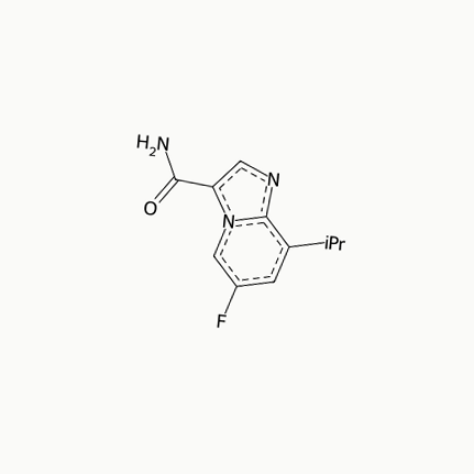 CC(C)c1cc(F)cn2c(C(N)=O)cnc12